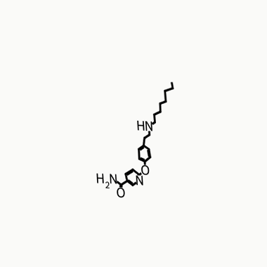 CCCCCCCCNCCc1ccc(Oc2ccc(C(N)=O)cn2)cc1